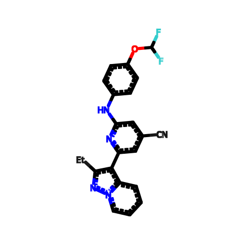 CCc1nn2ccccc2c1-c1cc(C#N)cc(Nc2ccc(OC(F)F)cc2)n1